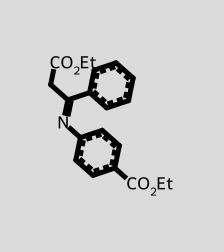 CCOC(=O)CC(=Nc1ccc(C(=O)OCC)cc1)c1ccccc1